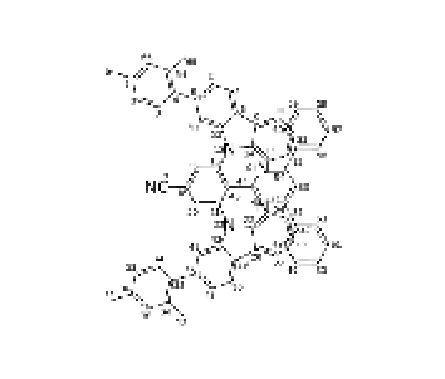 Cc1ccc(-c2ccc3c4ccccc4n(-c4cc(C#N)cc(-n5c6ccccc6c6ccc(-c7ccc(C)cc7C)cc65)c4-c4nc(-c5ccccc5)cc(-c5ccccc5)n4)c3c2)c(C)c1